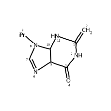 C=C1NC(=O)C2N=CN(C(C)C)C2N1